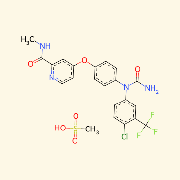 CNC(=O)c1cc(Oc2ccc(N(C(N)=O)c3ccc(Cl)c(C(F)(F)F)c3)cc2)ccn1.CS(=O)(=O)O